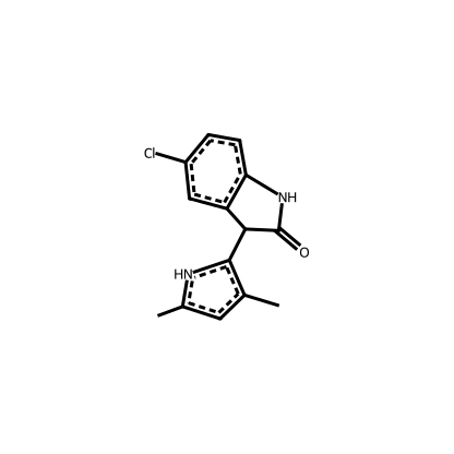 Cc1cc(C)c(C2C(=O)Nc3ccc(Cl)cc32)[nH]1